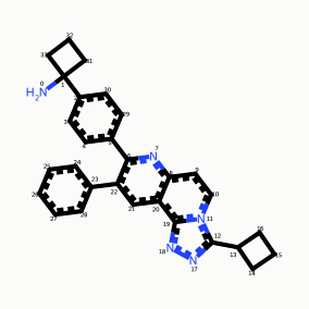 NC1(c2ccc(-c3nc4ccn5c(C6CCC6)nnc5c4cc3-c3ccccc3)cc2)CCC1